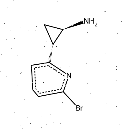 N[C@@H]1C[C@H]1c1cccc(Br)n1